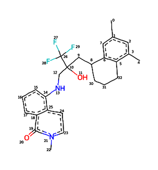 Cc1cc(C)c2c(c1)C(CC(O)(CNc1cccc3c(=O)n(C)ccc13)C(F)(F)F)CCC2